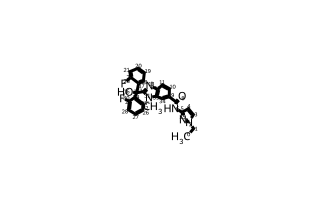 CCn1ccc(NC(=O)c2ccc3nc(C(O)(c4ccccc4F)c4ccccc4F)n(C)c3c2)n1